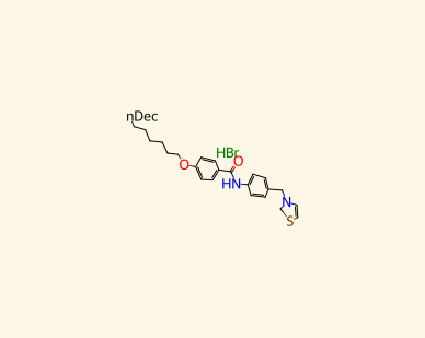 Br.CCCCCCCCCCCCCCCCOc1ccc(C(=O)Nc2ccc(CN3C=CSC3)cc2)cc1